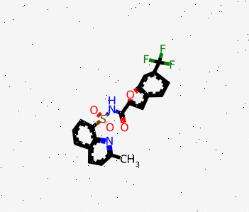 Cc1ccc2cccc(S(=O)(=O)NC(=O)c3cc4ccc(C(F)(F)F)cc4o3)c2n1